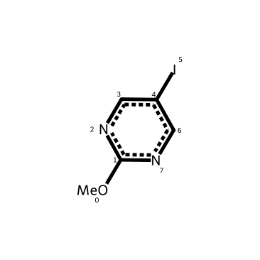 COc1ncc(I)cn1